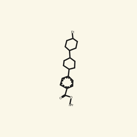 CCCOC(=O)c1ccc(C2CCC(C3CCC(CC)CC3)CC2)cc1